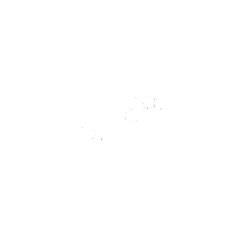 CCN(CCCNC(=O)OC(C)(C)C)Cc1cccc(-c2nc(Cl)ncc2F)c1